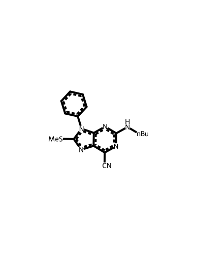 CCCCNc1nc(C#N)c2nc(SC)n(-c3ccccc3)c2n1